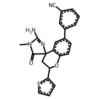 CN1C(=O)C2(CC(c3cccs3)Oc3ccc(-c4cccc(C#N)c4)cc32)N=C1N